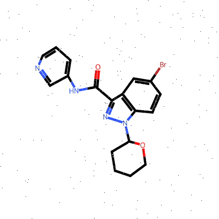 O=C(Nc1cccnc1)c1nn(C2CCCCO2)c2ccc(Br)cc12